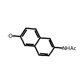 CC(=O)Nc1ccc2cc([O])ccc2c1